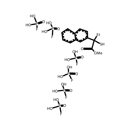 CCC(S)(C(=O)OC)c1ccc2ccccc2c1.O=P(O)(O)F.O=P(O)(O)F.O=P(O)(O)F.O=P(O)(O)F.O=P(O)(O)F.O=P(O)(O)F